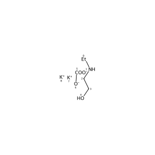 CCNCCO.O=C([O-])[O-].[K+].[K+]